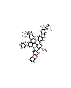 Cc1cc2c3c4c1c1cc5oc6ccccc6c5cc1n4-c1cc4c(cc1B3N(c1ccc(C(C)(C)C)cc1)c1cc3c(cc1-2)sc1cc(C(C)(C)C)ccc13)oc1ccccc14